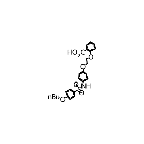 CCCCOc1ccc(S(=O)(=O)Nc2ccc(OCCOc3ccccc3C(=O)O)cc2)cc1